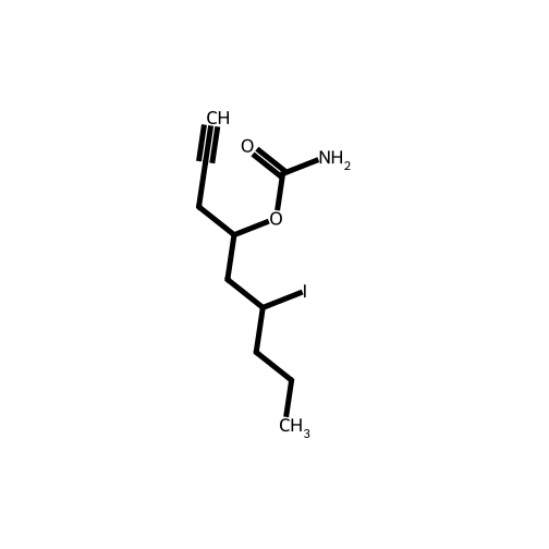 C#CCC(CC(I)CCC)OC(N)=O